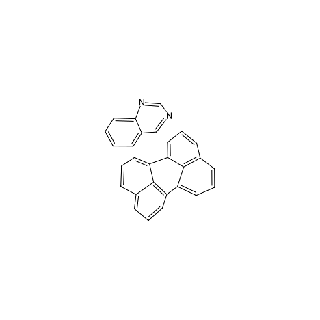 c1cc2cccc3c4cccc5cccc(c(c1)c23)c54.c1ccc2ncncc2c1